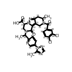 Cc1ncnn1-c1ccc(C(C)N2C[C@@H](C(=O)O)n3nc4c(c3C2=O)CN(C(=O)c2ccc(Cl)c(Cl)c2)[C@H](C)C4)nc1